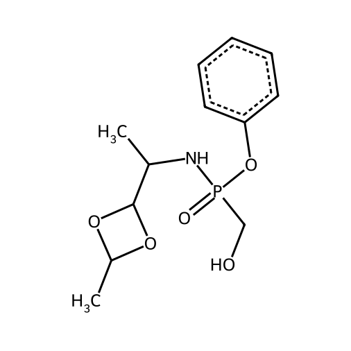 CC1OC(C(C)NP(=O)(CO)Oc2ccccc2)O1